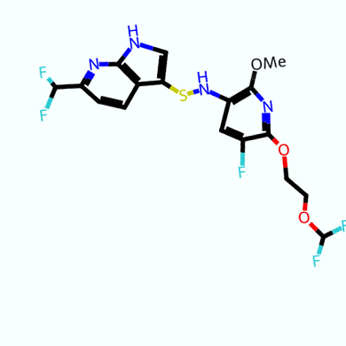 COc1nc(OCCOC(F)F)c(F)cc1NSc1c[nH]c2nc(C(F)F)ccc12